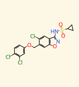 O=S(=O)(Nc1noc2cc(COc3ccc(Cl)c(Cl)c3)c(Cl)cc12)C1CC1